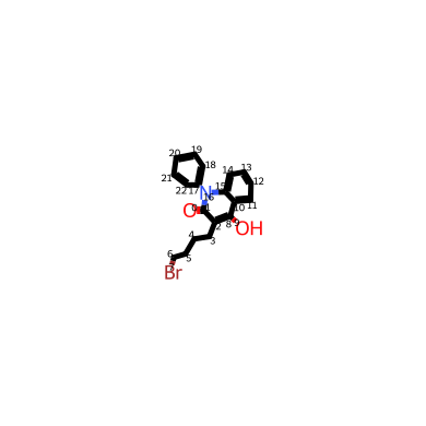 O=c1c(CCCCBr)c(O)c2ccccc2n1-c1ccccc1